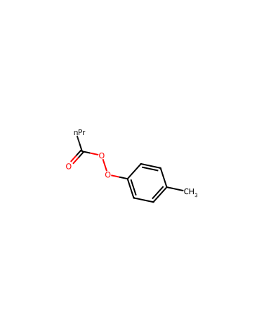 CCCC(=O)OOc1ccc(C)cc1